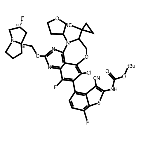 CC(C)(C)OC(=O)Nc1sc2c(F)ccc(-c3c(Cl)c4c5c(nc(OC[C@@]67CCCN6C[C@H](F)C7)nc5c3F)N(C3CCOC3)C(C3(C#N)CC3)CO4)c2c1C#N